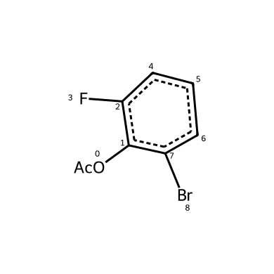 CC(=O)Oc1c(F)cccc1Br